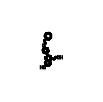 OCCC1=CC(c2ccc(OCCN3CCCCCC3)cc2)Oc2cc(O)ccc21